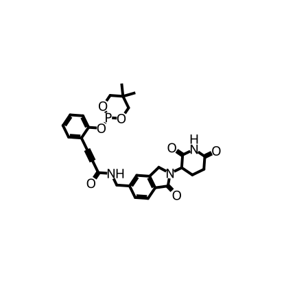 CC1(C)COP(Oc2ccccc2C#CC(=O)NCc2ccc3c(c2)CN(C2CCC(=O)NC2=O)C3=O)OC1